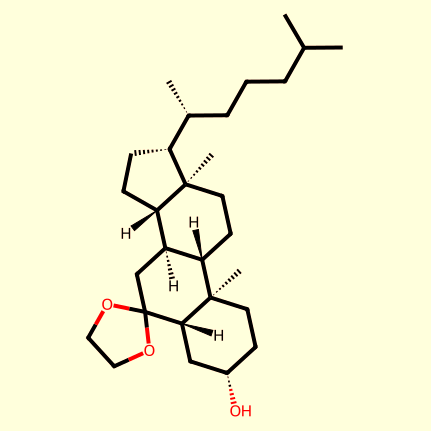 CC(C)CCC[C@@H](C)[C@H]1CC[C@H]2[C@@H]3CC4(OCCO4)[C@H]4C[C@@H](O)CC[C@]4(C)[C@H]3CC[C@]12C